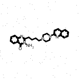 Nn1c(CCCCN2CCN(c3ccc4ccccc4n3)CC2)nc2ccccc2c1=O